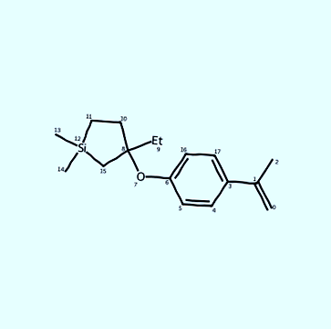 C=C(C)c1ccc(OC2(CC)CC[Si](C)(C)C2)cc1